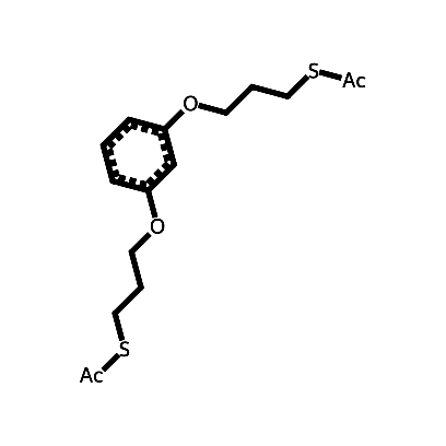 CC(=O)SCCCOc1cccc(OCCCSC(C)=O)c1